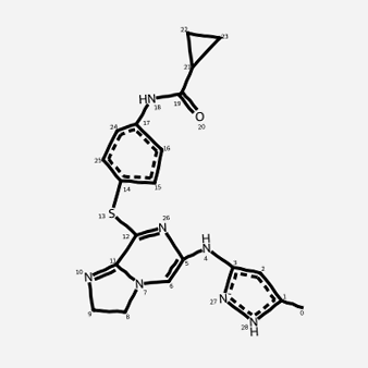 Cc1cc(NC2=CN3CCN=C3C(Sc3ccc(NC(=O)C4CC4)cc3)=N2)n[nH]1